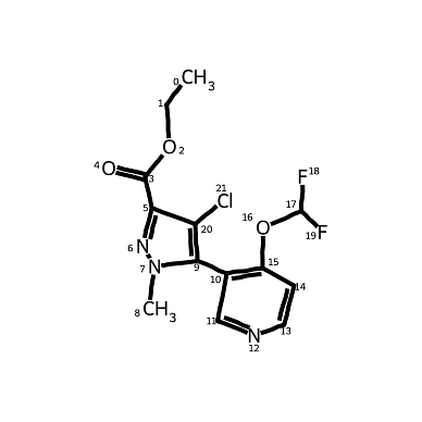 CCOC(=O)c1nn(C)c(-c2cnccc2OC(F)F)c1Cl